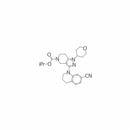 CC(C)OC(=O)N1CCc2c(c(N3CCCc4ccc(C#N)cc43)nn2C2CCOCC2)C1